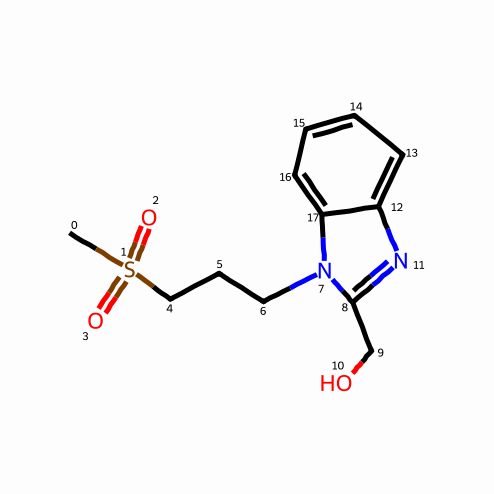 CS(=O)(=O)CCCn1c(CO)nc2ccccc21